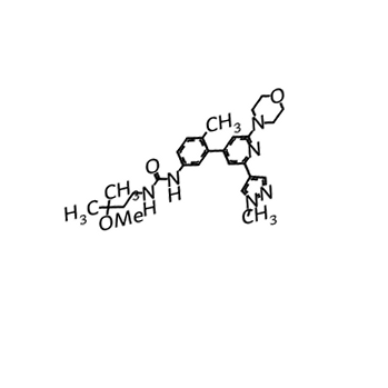 COC(C)(C)CCNC(=O)Nc1ccc(C)c(-c2cc(-c3cnn(C)c3)nc(N3CCOCC3)c2)c1